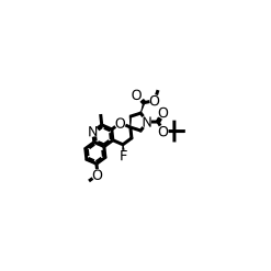 COC(=O)[C@@H]1C[C@]2(C[C@@H](F)c3c(c(C)nc4ccc(OC)cc34)O2)CN1C(=O)OC(C)(C)C